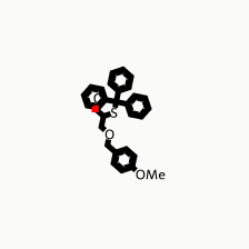 COc1ccc(COCC(CCl)SC(c2ccccc2)(c2ccccc2)c2ccccc2)cc1